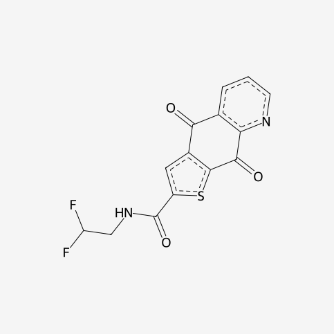 O=C(NCC(F)F)c1cc2c(s1)C(=O)c1ncccc1C2=O